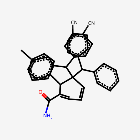 Cc1ccc(C2C(C(N)=O)=CC=CC2(C(c2ccccc2)c2ccc(C#N)cc2)C(c2ccccc2)c2ccc(C#N)cc2)cc1